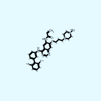 C=CC(=O)Nc1cc2c(Nc3cccc(-c4c(F)cccc4F)c3)ncnc2cc1OCCCN1CCN(CC)CC1